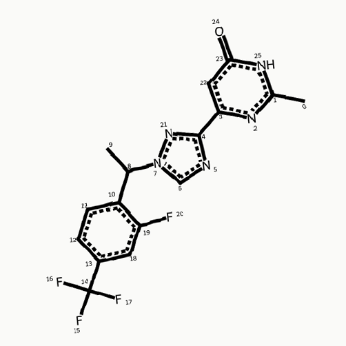 Cc1nc(-c2ncn(C(C)c3ccc(C(F)(F)F)cc3F)n2)cc(=O)[nH]1